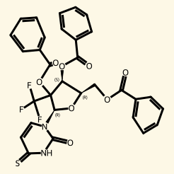 O=C(OC[C@H]1O[C@@H](n2ccc(=S)[nH]c2=O)C(OC(=O)c2ccccc2)(C(F)(F)F)[C@H]1OC(=O)c1ccccc1)c1ccccc1